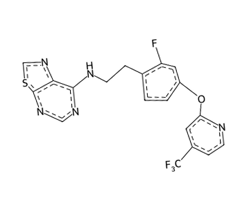 Fc1cc(Oc2cc(C(F)(F)F)ccn2)ccc1CCNc1ncnc2scnc12